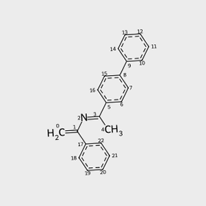 C=C(/N=C(\C)c1ccc(-c2ccccc2)cc1)c1ccccc1